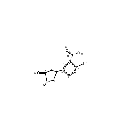 CN1CC(c2ccc(F)c([N+](=O)[O-])c2)CC1=O